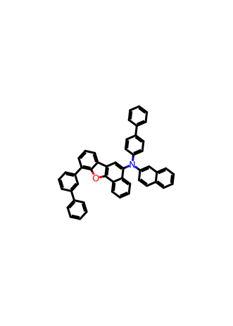 c1ccc(-c2ccc(N(c3ccc4ccccc4c3)c3cc4c5cccc(-c6cccc(-c7ccccc7)c6)c5oc4c4ccccc34)cc2)cc1